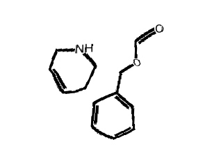 C1=CCNCC1.O=COCc1ccccc1